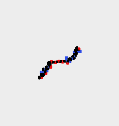 CCc1cc2ncc(CN3CCN(c4ccc(C(=O)NCCOCCOCCOCCOc5cccc(C(=O)N6CCc7c(nc(C(=O)Nc8ccc(OC(C)C)cc8)n7C(C)C)C6)c5)nc4)CC3)cc2[nH]c1=O